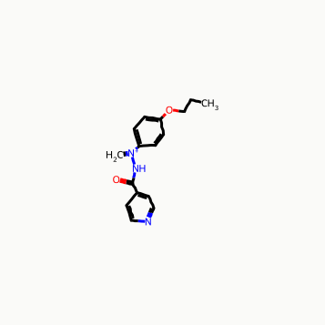 C=[N+](NC(=O)c1ccncc1)c1ccc(OCCC)cc1